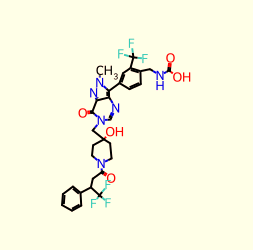 Cn1nc2c(=O)n(CC3(O)CCN(C(=O)CC(c4ccccc4)C(F)(F)F)CC3)cnc2c1-c1ccc(CNC(=O)O)c(C(F)(F)F)c1